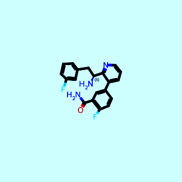 NC(=O)c1cc(-c2cccnc2[C@@H](N)Cc2cccc(F)c2)ccc1F